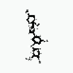 COc1nc(Nc2cc(C)cc(-c3cnc(C4(O)CCC(O)CC4)s3)c2)ncc1Cl